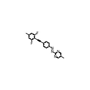 Cc1cnc(N=Nc2ccc(C#Cc3c(F)cc(C)cc3F)cc2)nc1